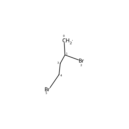 [CH2]C(Br)CCBr